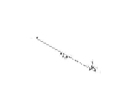 O=C(O)CCCCCCCCCCCCCCCCC(=O)N[C@@H](CC(=O)NCCCOCCOCCOCCCNC(=O)[C@H](CC(=O)O)NC(=O)CNI)C(=O)O